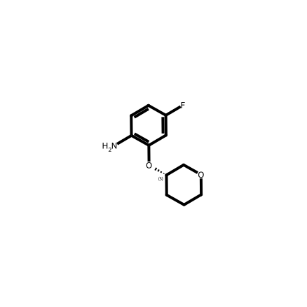 Nc1ccc(F)cc1O[C@H]1CCCOC1